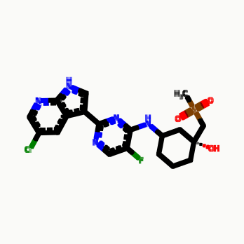 CS(=O)(=O)C[C@@]1(O)CCCC(Nc2nc(-c3c[nH]c4ncc(Cl)cc34)ncc2F)C1